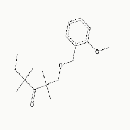 CCC(C)(C)C(=O)C(C)(C)COCc1ccccc1OC